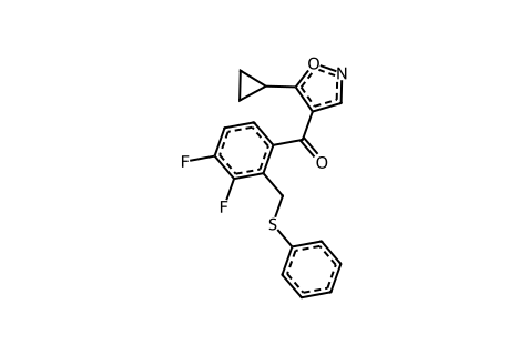 O=C(c1cnoc1C1CC1)c1ccc(F)c(F)c1CSc1ccccc1